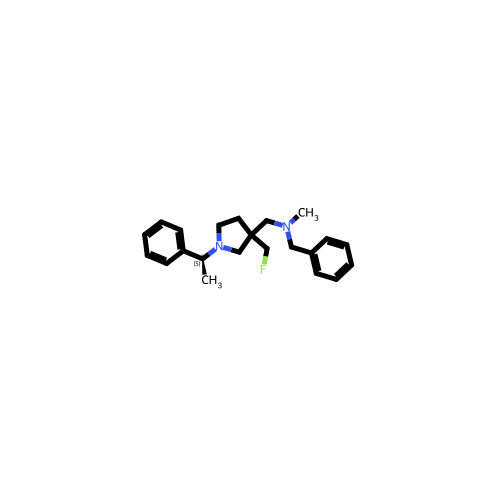 C[C@@H](c1ccccc1)N1CCC(CF)(CN(C)Cc2ccccc2)C1